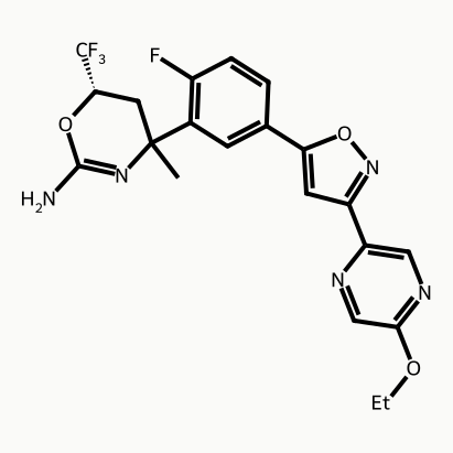 CCOc1cnc(-c2cc(-c3ccc(F)c(C4(C)C[C@@H](C(F)(F)F)OC(N)=N4)c3)on2)cn1